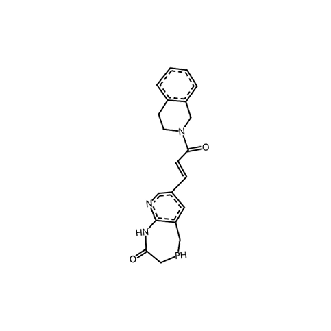 O=C1CPCc2cc(/C=C/C(=O)N3CCc4ccccc4C3)cnc2N1